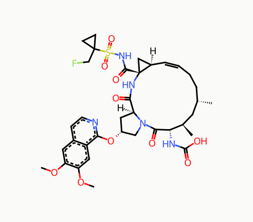 COc1cc2ccnc(O[C@@H]3C[C@H]4C(=O)N[C@]5(C(=O)NS(=O)(=O)C6(CF)CC6)C[C@H]5C=CCC[C@H](C)C[C@@H](C)[C@H](NC(=O)O)C(=O)N4C3)c2cc1OC